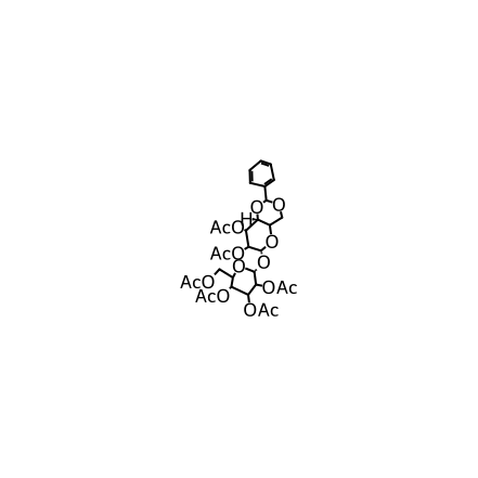 CC(=O)OCC1O[C@H](O[C@H]2OC3COC(c4ccccc4)O[C@H]3C(OC(C)=O)C2OC(C)=O)C(OC(C)=O)C(OC(C)=O)[C@@H]1OC(C)=O